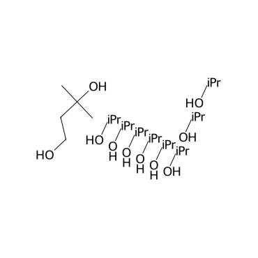 CC(C)(O)CCO.CC(C)O.CC(C)O.CC(C)O.CC(C)O.CC(C)O.CC(C)O.CC(C)O.CC(C)O